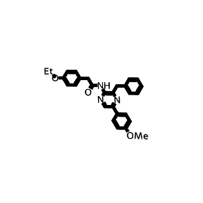 CCOc1ccc(CC(=O)Nc2ncc(-c3ccc(OC)cc3)nc2Cc2ccccc2)cc1